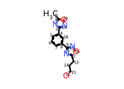 Cc1nc(-c2cccc(-c3noc(CCC=O)n3)c2)no1